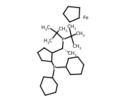 C1CCCC1.C[C@H](C1CCCC1P(C1CCCCC1)C1CCCCC1)P(C(C)(C)C)C(C)(C)C.[Fe]